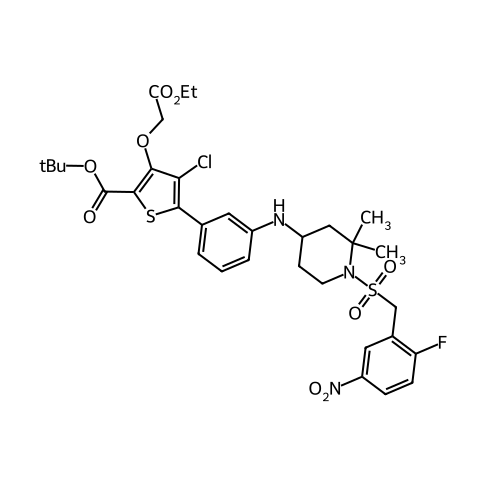 CCOC(=O)COc1c(C(=O)OC(C)(C)C)sc(-c2cccc(NC3CCN(S(=O)(=O)Cc4cc([N+](=O)[O-])ccc4F)C(C)(C)C3)c2)c1Cl